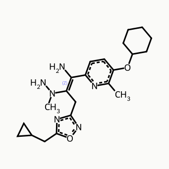 Cc1nc(/C(N)=C(\Cc2noc(CC3CC3)n2)N(C)N)ccc1OC1CCCCC1